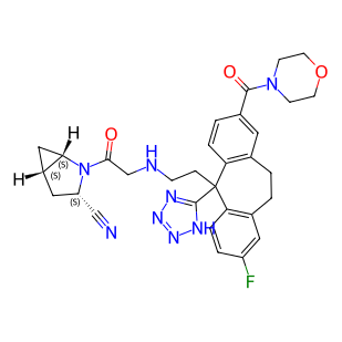 N#C[C@@H]1C[C@@H]2C[C@@H]2N1C(=O)CNCCC1(c2nnn[nH]2)c2ccc(F)cc2CCc2cc(C(=O)N3CCOCC3)ccc21